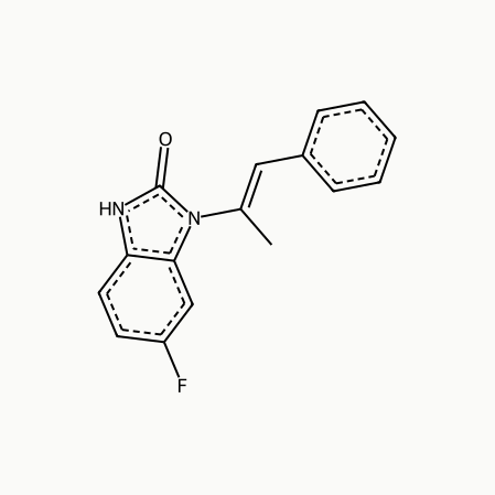 C/C(=C\c1ccccc1)n1c(=O)[nH]c2ccc(F)cc21